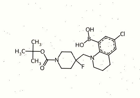 CC(C)(C)OC(=O)N1CCC(F)(CN2CCCc3cc(Cl)cc(B(O)O)c32)CC1